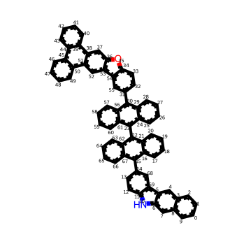 c1ccc2cc3c(cc2c1)[nH]c1ccc(-c2c4ccccc4c(-c4c5ccccc5c(-c5ccc6oc7cc8c9ccccc9c9ccccc9c8cc7c6c5)c5ccccc45)c4ccccc24)cc13